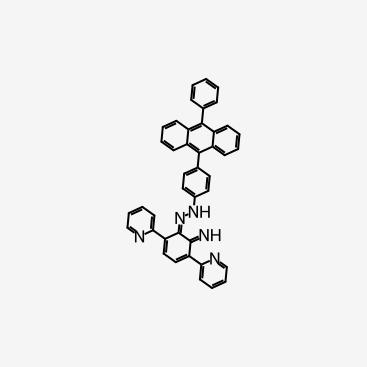 N=C1C(c2ccccn2)=CC=C(c2ccccn2)/C1=N/Nc1ccc(-c2c3ccccc3c(-c3ccccc3)c3ccccc23)cc1